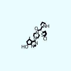 C[C@@H]1C[C@@H](O)c2ncnc(N3CCN(C(=O)[C@@H](c4ccc(Cl)s4)[C@@H]4CCCN4)CC3)c21